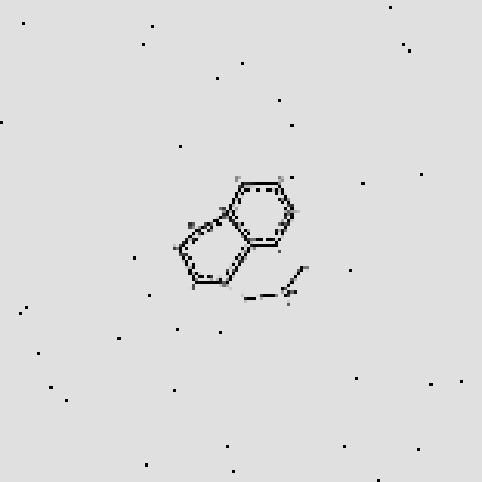 [CH3][Sn][CH3].c1ccc2ccccc2c1